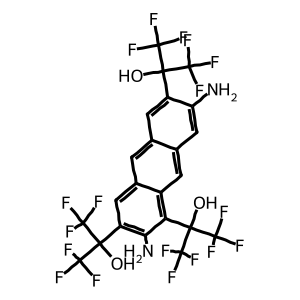 Nc1cc2cc3c(C(O)(C(F)(F)F)C(F)(F)F)c(N)c(C(O)(C(F)(F)F)C(F)(F)F)cc3cc2cc1C(O)(C(F)(F)F)C(F)(F)F